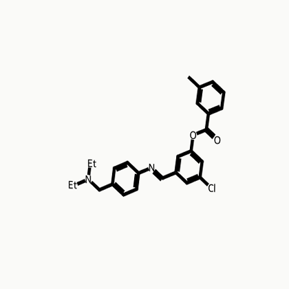 CCN(CC)Cc1ccc(N=Cc2cc(Cl)cc(OC(=O)c3cccc(C)c3)c2)cc1